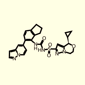 O=C(Nc1c(-c2ccn3nccc3c2)ccc2c1CCC2)NS(=O)(=O)c1cc2n(n1)CCO[C@@H]2C1CC1